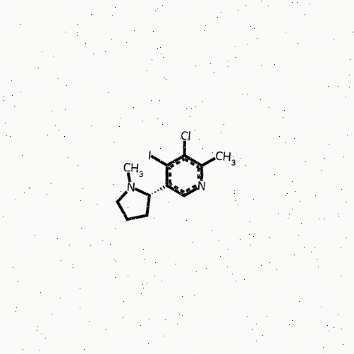 Cc1ncc([C@@H]2CCCN2C)c(I)c1Cl